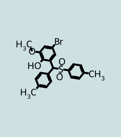 COc1cc(Br)cc(C(c2ccc(C)cc2)S(=O)(=O)c2ccc(C)cc2)c1O